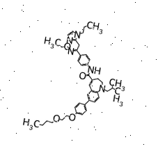 CCCCOCCOc1ccc(-c2ccc3c(c2)C=C(C(=O)Nc2ccc(C(Cc4nccn4CCC)=NOCC)cc2)CCN3CC(C)C)cc1